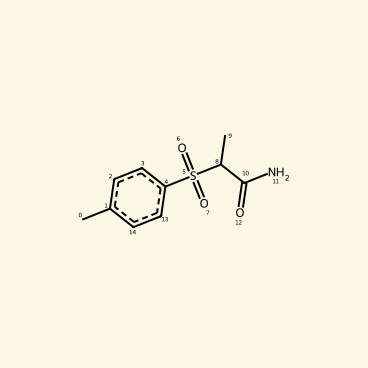 Cc1ccc(S(=O)(=O)C(C)C(N)=O)cc1